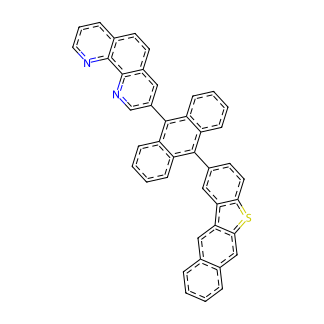 c1ccc2cc3c(cc2c1)sc1ccc(-c2c4ccccc4c(-c4cnc5c(ccc6cccnc65)c4)c4ccccc24)cc13